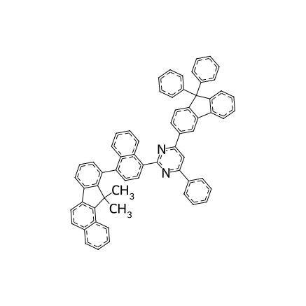 CC1(C)c2c(cccc2-c2ccc(-c3nc(-c4ccccc4)cc(-c4ccc5c(c4)-c4ccccc4C5(c4ccccc4)c4ccccc4)n3)c3ccccc23)-c2ccc3ccccc3c21